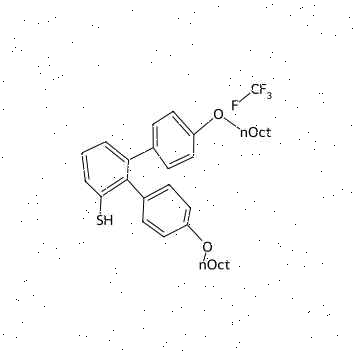 CCCCCCCCOc1ccc(-c2cccc(S)c2-c2ccc(OCCCCCCCC)cc2)cc1.FC(F)(F)F